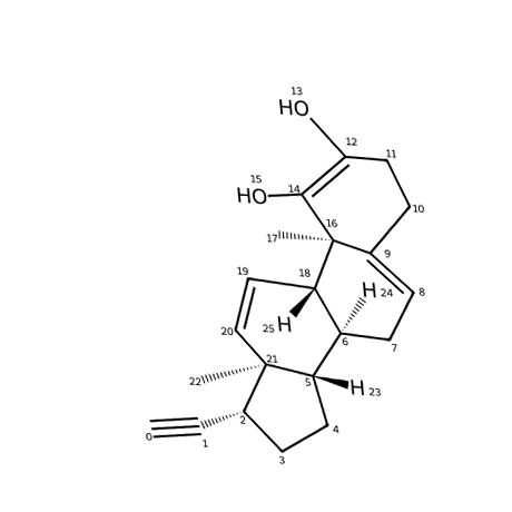 C#C[C@H]1CC[C@H]2[C@@H]3CC=C4CCC(O)=C(O)[C@]4(C)[C@H]3C=C[C@]12C